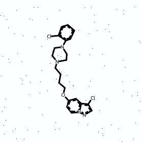 Clc1ccccc1N1CCN(CCCCOc2ccn3ncc(Cl)c3c2)CC1